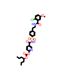 CCCC(CCC)OC(=O)Oc1ccc(C(=O)NS(=O)(=O)c2ccc(CCNC(=O)c3cc(OC)ccc3Cl)cc2)cn1